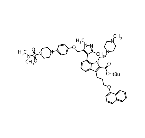 Cc1nn(C)c(COc2ccc(N3CCN(S(=O)(=O)N(C)C)CC3)cc2)c1-c1cccc2c(CCCOc3cccc4ccccc34)c(C(=O)OC(C)(C)C)n(CCN3CCN(C)CC3)c12